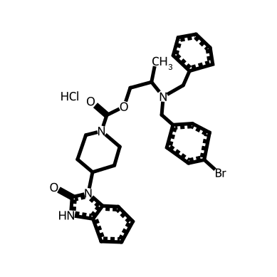 CC(COC(=O)N1CCC(n2c(=O)[nH]c3ccccc32)CC1)N(Cc1ccccc1)Cc1ccc(Br)cc1.Cl